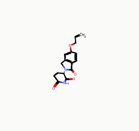 C=CCOc1ccc2c(c1)CN([C@H]1CCC(=O)NC1=O)C2=O